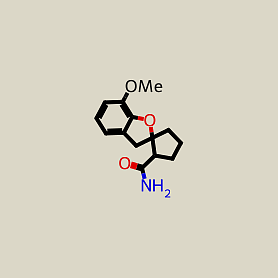 COc1cccc2c1OC1(CCCC1C(N)=O)C2